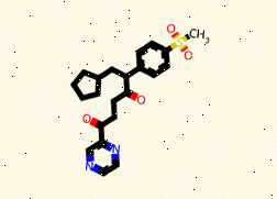 CS(=O)(=O)c1ccc(C(CC2CCCC2)C(=O)CCC(=O)c2cnccn2)cc1